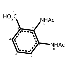 CC(=O)Nc1cccc(C(=O)O)c1NC(C)=O